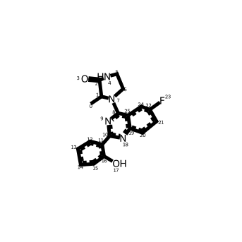 CC1C(=O)NCCN1c1nc(-c2ccccc2O)nc2ccc(F)cc12